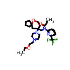 CCOCCN1CCN(C2(CN(C(=O)CC)c3cccc(C(F)(F)F)n3)CCOC3(CCCC3)C2)CC1